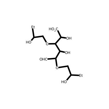 CCC(O)COC(C=O)C(O)C(OCC(O)CC)C(O)C(=O)O